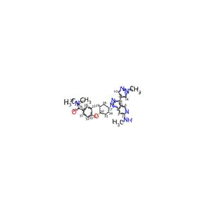 CNc1cc2c(cn1)c(-c1cnn(C)c1)nn2[C@H]1CC[C@@H](Oc2ccc(C(=O)N(C)C)cc2)CC1